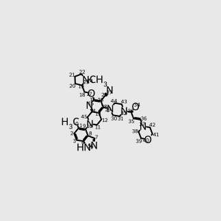 Cc1ccc2[nH]ncc2c1N1CCc2c(nc(OCC3CCCN3C)c(C#N)c2N2CCN(C(=O)C=CN3CCOCC3)CC2)C1